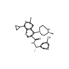 Cc1cc2c(N3CCN[C@@H](C)CC3)c(C(=O)N[C@@H](C)c3cncc(C#N)c3)cnc2c(C2CC2)n1